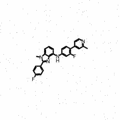 Cc1cc(-c2ccc(Nc3cccc4c3nc(-c3ccc(F)cc3)n4C)cc2F)ccn1